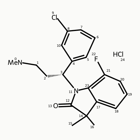 CNCC[C@H](c1cccc(Cl)c1)N1C(=O)C(C)(C)c2cccc(F)c21.Cl